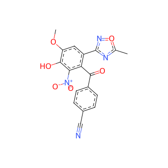 COc1cc(-c2noc(C)n2)c(C(=O)c2ccc(C#N)cc2)c([N+](=O)[O-])c1O